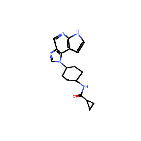 O=C(NC1CCC(n2cnc3cnc4[nH]ccc4c32)CC1)C1CC1